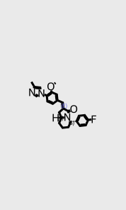 COc1cc(/C=C2\C[C@H]3CCC[C@@H](c4ccc(F)cc4)N3C2=O)ccc1-n1cnc(C)c1